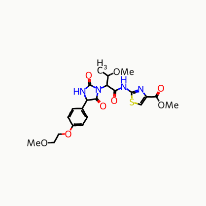 COCCOc1ccc(C2NC(=O)N(C(C(=O)Nc3nc(C(=O)OC)cs3)C(C)OC)C2=O)cc1